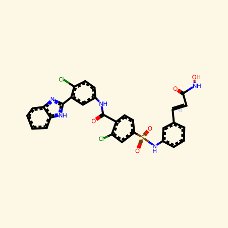 O=C(/C=C/c1cccc(NS(=O)(=O)c2ccc(C(=O)Nc3ccc(Cl)c(-c4nc5ccccc5[nH]4)c3)c(Cl)c2)c1)NO